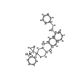 NC1(C2(c3ccccc3)CCC(Oc3cc4ccnc(OCc5ccccc5)c4cc3Cl)CC2)CC1